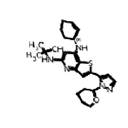 CC(C)(C)Nc1cc(N[C@H]2C=CCCC2)c2sc(-c3ccnn3C3CCCCO3)cc2n1